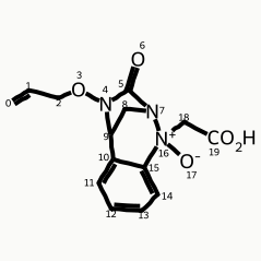 C=CCON1C(=O)N2CC1c1ccccc1[N+]2([O-])CC(=O)O